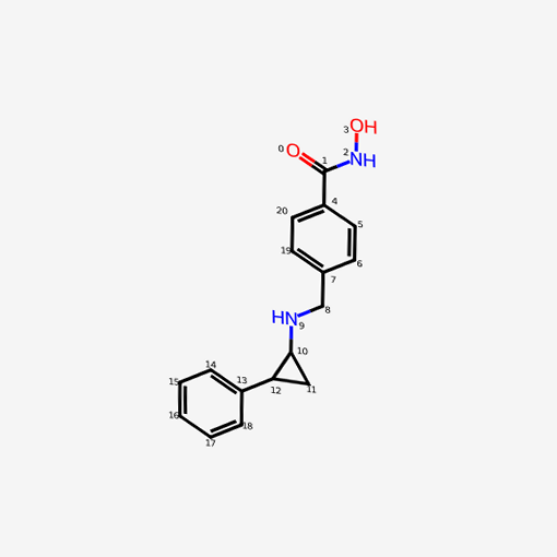 O=C(NO)c1ccc(CNC2CC2c2ccccc2)cc1